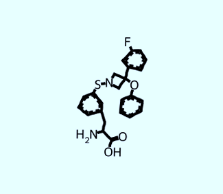 NC(Cc1cccc(SN2CC(Oc3ccccc3)(c3cccc(F)c3)C2)c1)C(=O)O